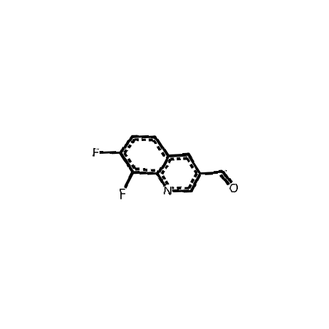 O=[C]c1cnc2c(F)c(F)ccc2c1